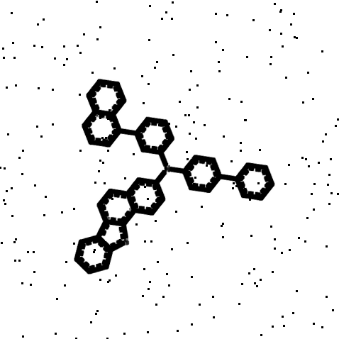 c1ccc(-c2ccc(N(c3cccc(-c4cccc5ccccc45)c3)c3ccc4c(ccc5c6ccccc6sc45)c3)cc2)cc1